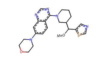 COC(c1cncs1)C1CCCN(c2ncnc3cc(N4CCOCC4)ccc23)C1